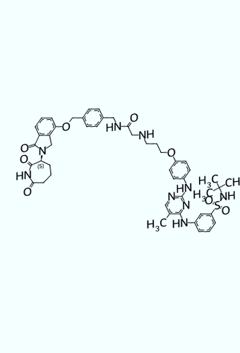 Cc1cnc(Nc2ccc(OCCCNCC(=O)NCc3ccc(COc4cccc5c4CN([C@H]4CCCC(=O)NC4=O)C5=O)cc3)cc2)nc1Nc1cccc(S(=O)(=O)NC(C)(C)C)c1